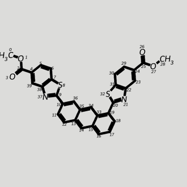 COC(=O)c1ccc2sc(-c3ccc4cc5cccc(-c6nc7cc(C(=O)OC)ccc7s6)c5cc4c3)nc2c1